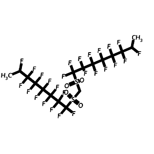 CC(F)C(F)(F)C(F)(F)C(F)(F)C(F)(F)C(F)(F)C(F)(F)S(=O)(=O)CS(=O)(=O)C(F)(F)C(F)(F)C(F)(F)C(F)(F)C(F)(F)C(F)(F)C(C)F